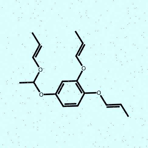 CC=COc1ccc(OC(C)OC=CC)cc1OC=CC